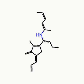 C=C/C=C1/CC(/C(=C\CC)N/C(C)=C/C=C\C)=C(C)C1=C